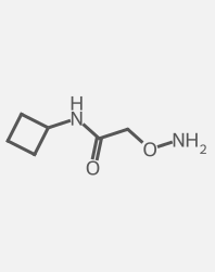 NOCC(=O)NC1CCC1